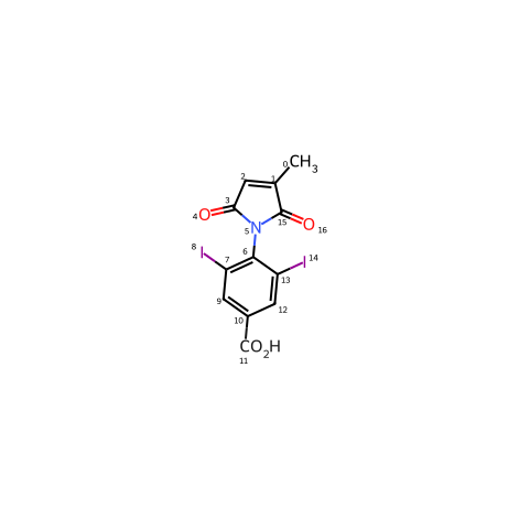 CC1=CC(=O)N(c2c(I)cc(C(=O)O)cc2I)C1=O